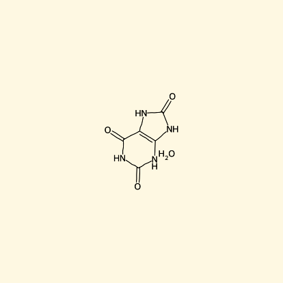 O.O=c1[nH]c(=O)c2[nH]c(=O)[nH]c2[nH]1